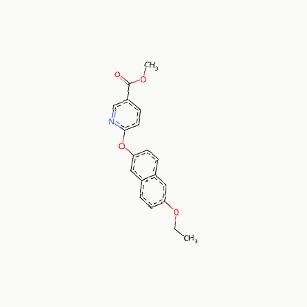 CCOc1ccc2cc(Oc3ccc(C(=O)OC)cn3)ccc2c1